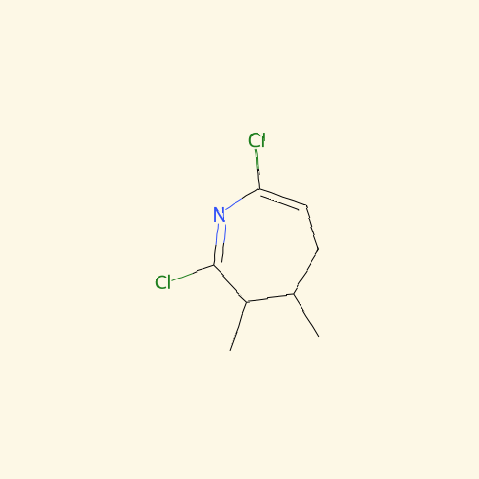 CC1CC=C(Cl)N=C(Cl)C1C